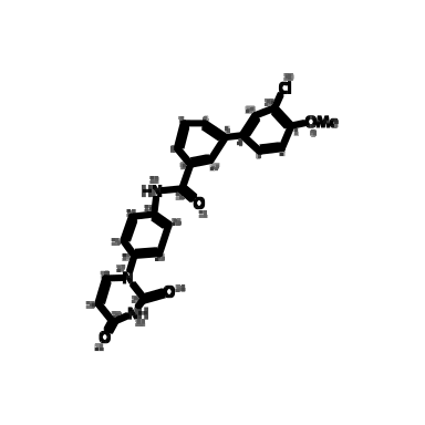 COc1ccc(-c2cccc(C(=O)Nc3ccc(-n4ccc(=O)[nH]c4=O)cc3)c2)cc1Cl